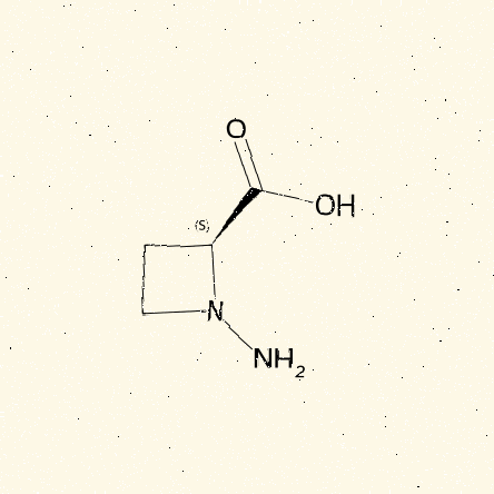 NN1CC[C@H]1C(=O)O